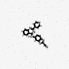 N#Cc1nc2ccc(Nc3nc(-c4ccncc4)nc4ccccc34)cc2s1